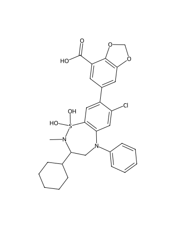 CN1C(C2CCCCC2)CN(c2ccccc2)c2cc(Cl)c(-c3cc4c(c(C(=O)O)c3)OCO4)cc2S1(O)O